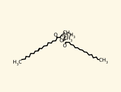 CCCCCCCCC=CCCCCCCCC(=O)C(C[N+](C)(C)C)O[P-]C(=O)CCCCCCCCCCCCCCC